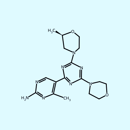 Cc1nc(N)ncc1-c1nc(N2CCOCC2)nc(N2CCO[C@H](C)C2)n1